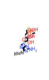 CNc1nc(N)nc2c1ncn2C1O[C@H](CC(CF)OP(=O)(O)C(C)O)[C@@H](O)[C@H]1O